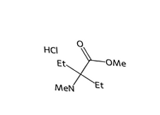 CCC(CC)(NC)C(=O)OC.Cl